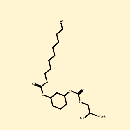 CCCCCC(CCC)COC(=O)OC1CCCC(OC(=O)OCCCCCCCCC(C)C)C1